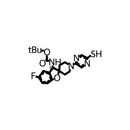 CC(C)(C)OC(=O)N[C@@H]1c2cc(F)ccc2OC12CCN(c1cnc(S)cn1)CC2